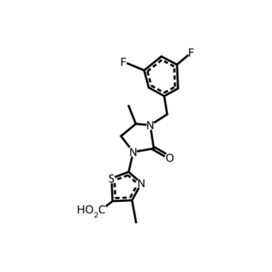 Cc1nc(N2CC(C)N(Cc3cc(F)cc(F)c3)C2=O)sc1C(=O)O